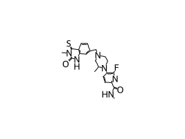 CNC(=O)c1ccc(N2CCN(Cc3ccc4c(=S)n(C)c(=O)[nH]c4c3)CC2C)c(F)n1